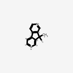 CC1(I)c2cnccc2-c2ccncc21